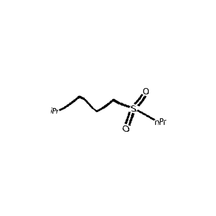 CCCS(=O)(=O)CCCC(C)C